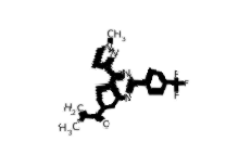 C=C(C)C(=O)C1CCc2c(nc(-c3ccc(C(F)(F)F)cc3)nc2-c2ccn(C)n2)C1